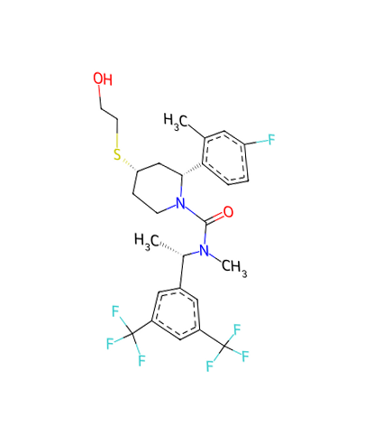 Cc1cc(F)ccc1[C@H]1C[C@@H](SCCO)CCN1C(=O)N(C)[C@@H](C)c1cc(C(F)(F)F)cc(C(F)(F)F)c1